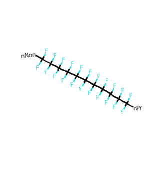 CCCCCCCCCC(F)(F)C(F)(F)C(F)(F)C(F)(F)C(F)(F)C(F)(F)C(F)(F)C(F)(F)C(F)(F)C(F)(F)C(F)(F)CCC